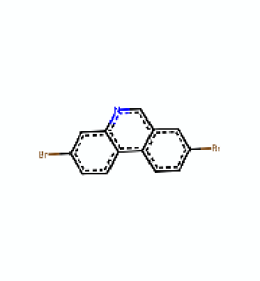 Brc1ccc2c(cnc3cc(Br)ccc32)c1